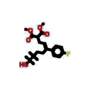 COC(=O)C(C/C=C(\CCC(C)(C)[Si](C)(C)O)c1ccc(F)cc1)C(=O)OC